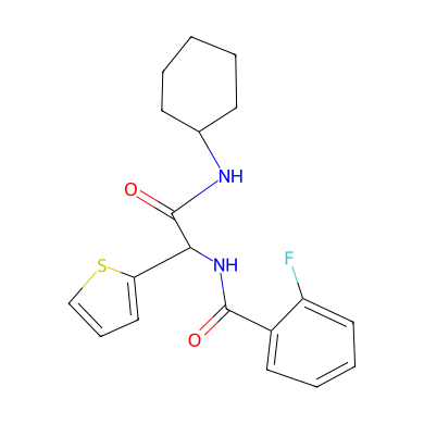 O=C(NC(C(=O)NC1CCCCC1)c1cccs1)c1ccccc1F